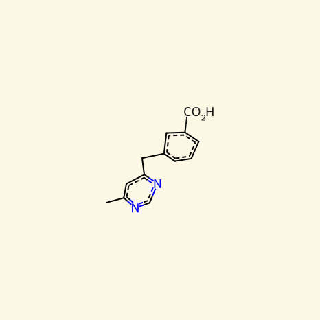 Cc1cc(Cc2cccc(C(=O)O)c2)ncn1